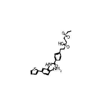 CCS(=O)(=O)CCP(=O)(O)CCc1ccc(C(=O)Nc2cc(-c3cccs3)ccc2N)cc1